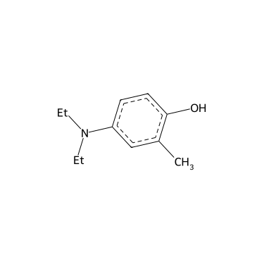 CCN(CC)c1ccc(O)c(C)c1